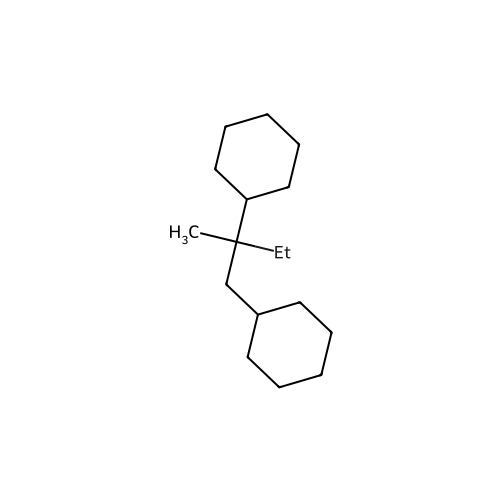 CCC(C)(CC1CCCCC1)C1CCCCC1